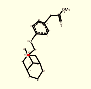 COC(=O)Cc1ccc(OCCC2C3CCCC2CN(C)C3)cc1